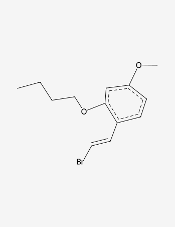 CCCCOc1cc(OC)ccc1C=CBr